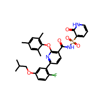 Cc1cc(C)c(Oc2nc(-c3cc(OCC(C)C)ccc3F)ccc2C(=O)NS(=O)(=O)c2ccc[nH]c2=O)c(C)c1